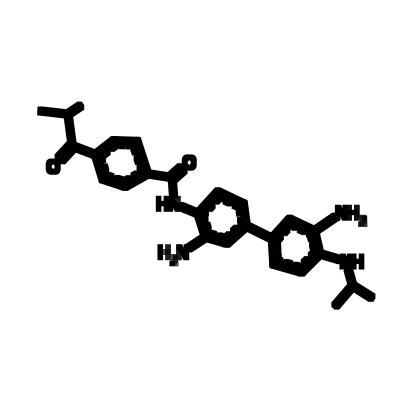 CC(C)Nc1ccc(-c2ccc(NC(=O)c3ccc(C(=O)C(C)C)cc3)c(N)c2)cc1N